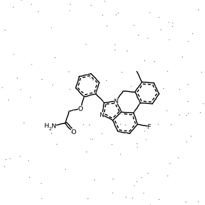 Cc1cccc2c1Cn1c(-c3ccccc3OCC(N)=O)nc3ccc(F)c-2c31